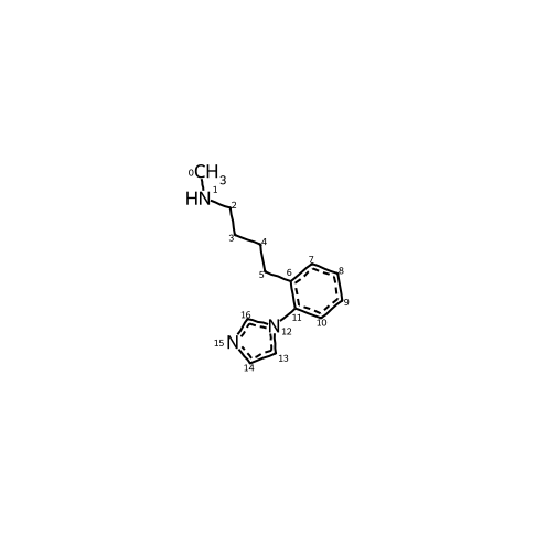 CNCCCCc1ccccc1-n1ccnc1